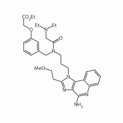 CCOC(=O)COc1cccc(CN(CCCn2c(CCOC)nc3c(N)nc4ccccc4c32)C(=O)CN(CC)CC)c1